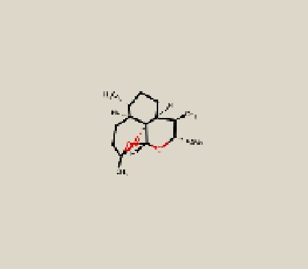 CO[C@@H]1O[C@@H]2O[C@@]3(C)CC[C@H]4[C@H](C)CC[C@@H]([C@H]1C)[C@@]24OO3